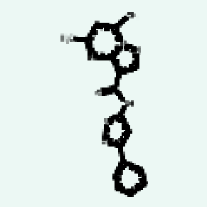 Cc1cc(C)n2ncc(C(=O)Nc3cc(-c4ccccc4)on3)c2n1